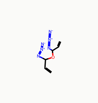 C=CC(N=[N+]=[N-])OC(C=C)N=[N+]=[N-]